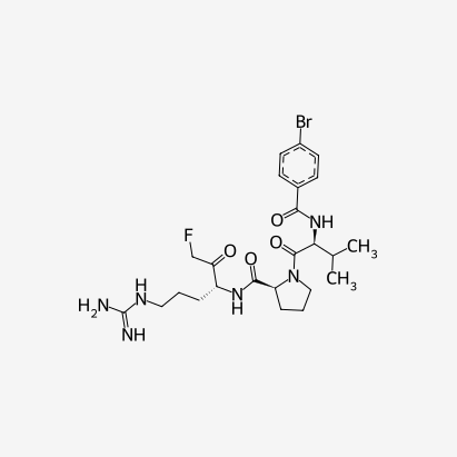 CC(C)[C@H](NC(=O)c1ccc(Br)cc1)C(=O)N1CCC[C@H]1C(=O)N[C@H](CCCNC(=N)N)C(=O)CF